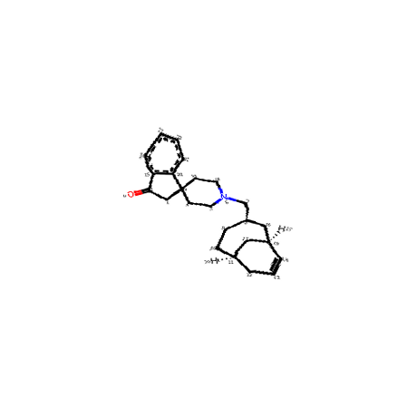 O=C1CC2(CCN(C[C@@H]3CC[C@@H]4CC=C[C@H](C3)C4)CC2)c2ccccc21